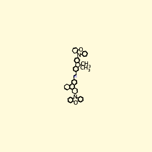 CC1(C)c2cc(/C=C/c3ccc4c5c(c6c(c4c3)CCC=C6)CC(N3c4ccccc4Oc4ccccc43)C=C5)ccc2-c2ccc(N3C4=C(C=CCC4)Oc4ccccc43)cc21